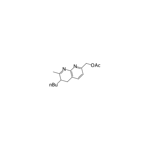 CCCCC1Cc2ccc(COC(C)=O)nc2N=C1C